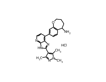 Cc1nn(C)c(C)c1-c1nc2c(-c3ccc4c(c3)OCCCC4N)ccnc2[nH]1.Cl